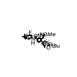 COc1cc2c(N3CC(C)N(C(=O)OC(C)(C)C)[C@@H](C)C3)ccc(C(=O)Nc3cc(F)c4nc(C)cn4c3)c2nn1